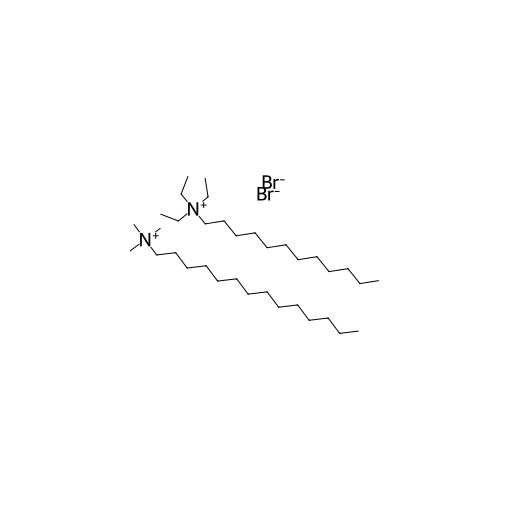 CCCCCCCCCCCCCC[N+](C)(C)C.CCCCCCCCCCCC[N+](CC)(CC)CC.[Br-].[Br-]